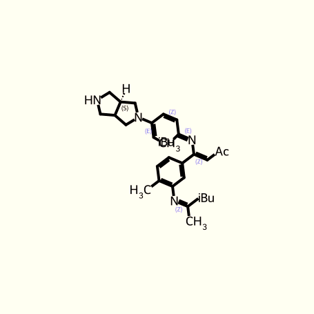 C\C=C(/C=C\C(=N\C(=C/C(C)=O)c1ccc(C)c(/N=C(/C)C(C)CC)c1)C(C)CC)N1CC2CNC[C@H]2C1